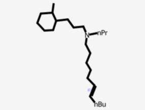 CCCC/C=C/CCCCCN(CCC)CCCC1CCCCC1C